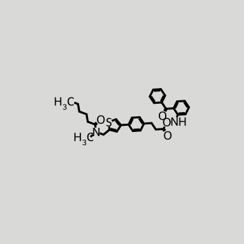 CCCCCC(=O)N(C)Cc1cc(-c2ccc(CCC(=O)ONc3ccccc3C(=O)c3ccccc3)cc2)cs1